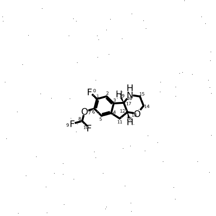 Fc1cc2c(cc1OC(F)F)C[C@H]1OCCN[C@@H]21